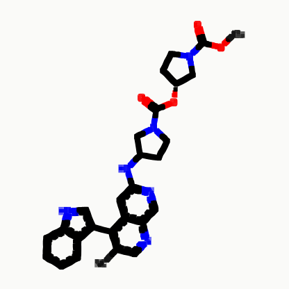 CC(C)(C)OC(=O)N1CC[C@@H](OC(=O)N2CCC(Nc3cc4c(-c5c[nH]c6ccccc56)c(C#N)cnc4cn3)C2)C1